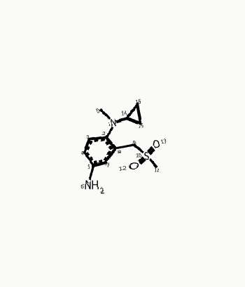 CN(c1ccc(N)cc1CS(C)(=O)=O)C1CC1